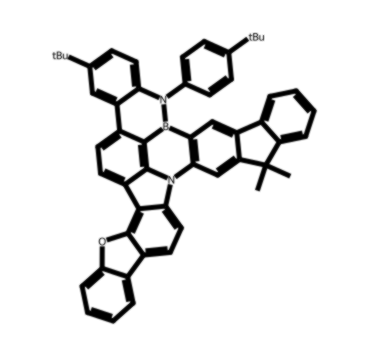 CC(C)(C)c1ccc(N2B3c4cc5c(cc4-n4c6ccc7c8ccccc8oc7c6c6ccc(c3c64)-c3cc(C(C)(C)C)ccc32)C(C)(C)c2ccccc2-5)cc1